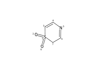 O=S1(=O)C=CN=CC1